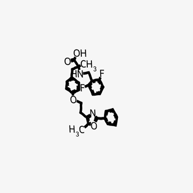 Cc1oc(-c2ccccc2)nc1CCOc1ccc(CC(C)(NCc2c(F)cccc2F)C(=O)O)cc1